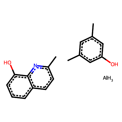 Cc1cc(C)cc(O)c1.Cc1ccc2cccc(O)c2n1.[AlH3]